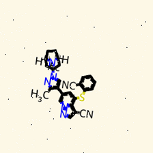 CC(=O)N1[C@@H]2CC[C@H]1CC(n1cc(-c3cc(Sc4ccccc4C#N)c4c(C#N)cnn4c3)c(C)n1)C2